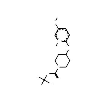 COc1ccc(OC2CCN(C(=O)OC(C)(C)C)CC2)[n+]([O-])c1